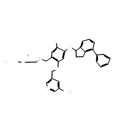 N#Cc1cncc(COc2cc(OC3CCc4c(-c5ccccc5)cccc43)c(Cl)cc2CNC[C@@H](O)CC(=O)O)c1